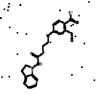 O=Cc1cc(OCCCC(=O)NN2CCc3ccccc32)ccc1[N+](=O)[O-]